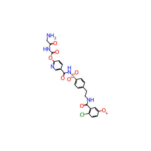 COc1ccc(Cl)c(C(=O)NCCc2ccc(S(=O)(=O)NC(=O)c3ccc(OC(=O)NC(=O)CN)nc3)cc2)c1